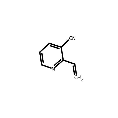 C=Cc1ncccc1C#N